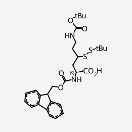 CC(C)(C)OC(=O)NCCC(C[C@H](NC(=O)OCC1c2ccccc2-c2ccccc21)C(=O)O)SSC(C)(C)C